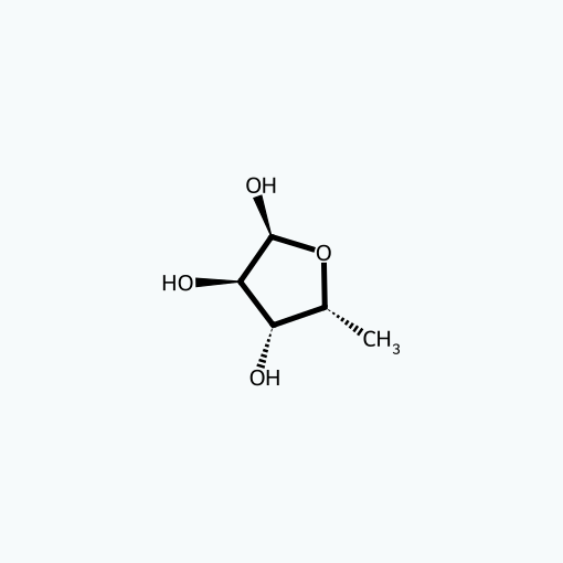 C[C@H]1O[C@H](O)[C@H](O)[C@H]1O